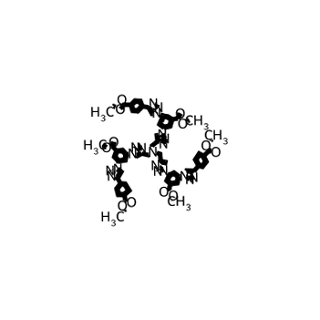 CCOC(=O)c1ccc(-c2cn(-c3cc(C(=O)OC)cc(-n4cc(CN(Cc5cn(-c6cc(C(=O)OC)cc(-n7cc(-c8ccc(C(=O)OCC)cc8)nn7)c6)nn5)Cc5cn(-c6cc(C(=O)OC)cc(-n7cc(-c8ccc(C(=O)OCC)cc8)nn7)c6)nn5)nn4)c3)nn2)cc1